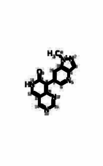 Cn1ncc2ncc(-c3c(=O)[nH]cc4cncnc34)cc21